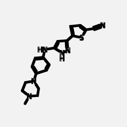 CN1CCN(c2ccc(Nc3cc(-c4ccc(C#N)s4)n[nH]3)cc2)CC1